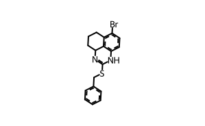 Brc1ccc2c3c1CCCC3N=C(SCc1ccccc1)N2